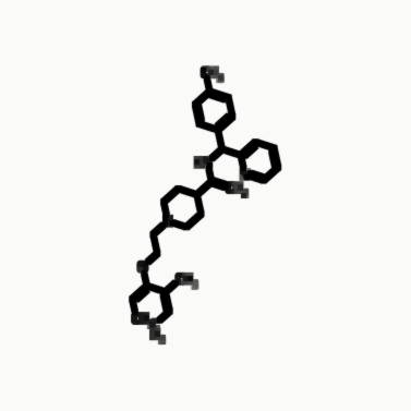 C=C(NC(c1ccc(C)cc1)c1ccccn1)C1CCN(CCOC(=C/C)/C(C)=C\C)CC1